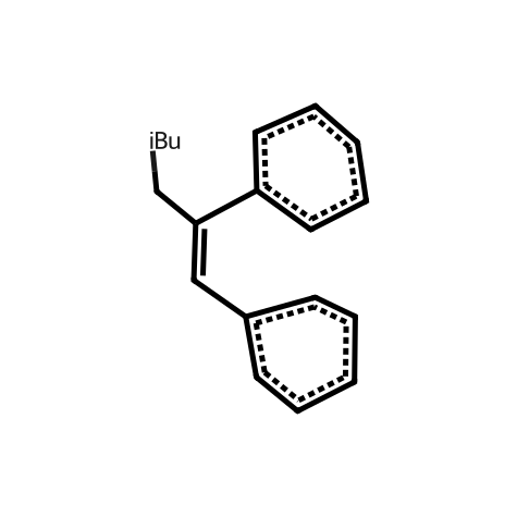 CCC(C)CC(=Cc1ccccc1)c1ccccc1